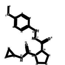 COc1ccc(NNC(=O)C2CCCN2C(=O)NC2CC2)cc1